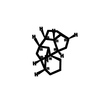 C1C[C@H]2CNC3[C@@H]4C[C@H]2[C@@]3(C1)[C@@H]1C[C@@H]2CC[C@H]4[C@H]1C2